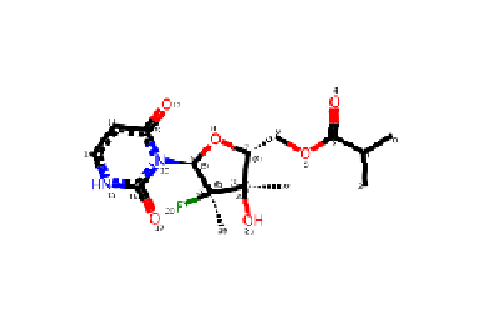 CC(C)C(=O)OC[C@H]1O[C@H](n2c(=O)cc[nH]c2=O)[C@](C)(F)[C@]1(C)O